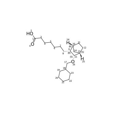 O=C(O)CCCCCC[C@@H]1[C@@H]2CC[C@@H](C2)[C@@H]1OCC1CCCCC1